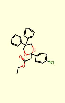 CCOC(=O)CC1(c2ccc(Cl)cc2)OCC(c2ccccc2)(c2ccccc2)CO1